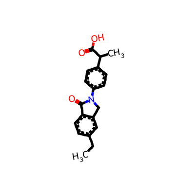 CCc1ccc2c(c1)CN(c1ccc(C(C)C(=O)O)cc1)C2=O